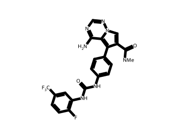 CNC(=O)c1cn2ncnc(N)c2c1-c1ccc(NC(=O)Nc2cc(C(F)(F)F)ccc2F)cc1